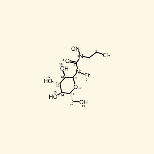 CCN(C(=O)N(CCCl)N=O)C1O[C@H](CO)[C@@H](O)[C@H](O)[C@H]1O